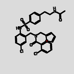 CC(=O)NCCc1ccc(S(=O)(=O)Nc2ccc(Cl)cc2CN(Cc2ccco2)C(=O)c2ccccc2Cl)cc1